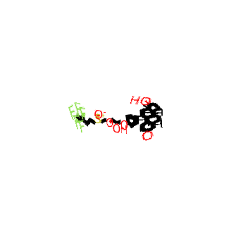 C[C@]12CCC(=O)C[C@@H]1CC[C@@H]1[C@@H]2[C@@H](c2ccc(OCC(O)COCC[S+]([O-])CCCC(F)(F)C(F)(F)F)cc2)C[C@]2(C)[C@@H](O)CC[C@@H]12